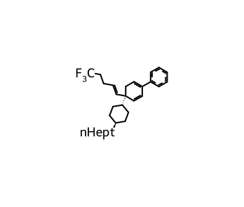 CCCCCCC[C@H]1CC[C@H](C2(C=CCCC(F)(F)F)C=CC(c3ccccc3)=CC2)CC1